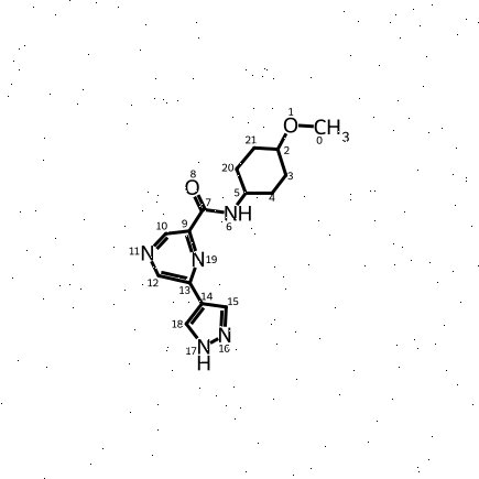 COC1CCC(NC(=O)c2cncc(-c3cn[nH]c3)n2)CC1